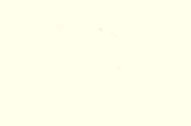 Cn1nc(-c2cncc(F)c2)cc1C(=O)NCC(C)(F)F